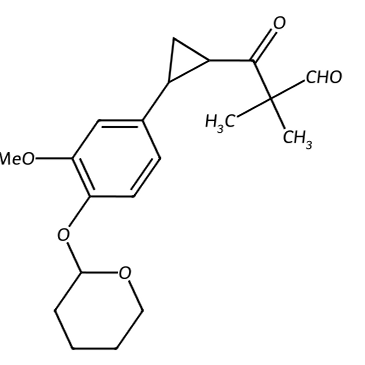 COc1cc(C2CC2C(=O)C(C)(C)C=O)ccc1OC1CCCCO1